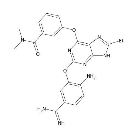 CCc1nc2c(Oc3cccc(C(=O)N(C)C)c3)nc(Oc3cc(C(=N)N)ccc3N)nc2[nH]1